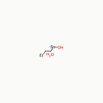 CCC[CH2][Sn][OH].O